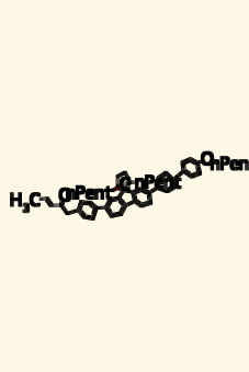 C/C=C/C(=O)Cc1ccc(-c2ccc3c(c2)C2(c4cc(-c5ccc(-c6ccc(OCCCCC)cc6)cc5)ccc4-3)C3(CCCCC)CCC2(CCCCC)CC3)cc1